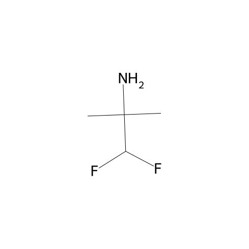 CC(C)(N)C(F)F